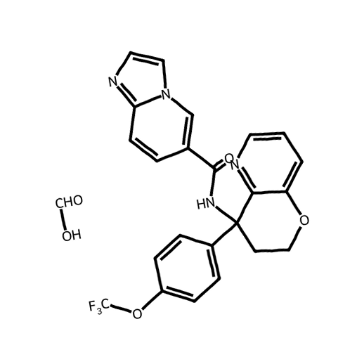 O=C(NC1(c2ccc(OC(F)(F)F)cc2)CCOc2cccnc21)c1ccc2nccn2c1.O=CO